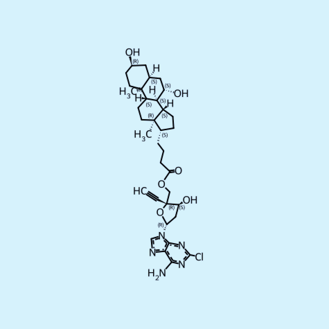 C#C[C@]1(COC(=O)CCC[C@H]2CC[C@H]3[C@@H]4[C@@H](O)C[C@@H]5C[C@H](O)CC[C@]5(C)[C@H]4CC[C@]23C)O[C@@H](n2cnc3c(N)nc(Cl)nc32)C[C@@H]1O